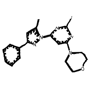 Cc1cc(-c2ccccc2)nn1-c1cc(N2CCOCC2)nc(I)n1